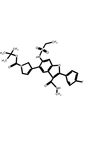 CCS(=O)(=O)Nc1cc2oc(-c3ccc(F)cc3)c(C(=O)NC)c2cc1C1=CCN(C(=O)OC(C)(C)C)C1